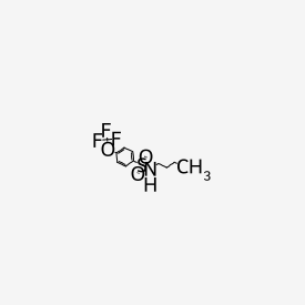 CCCCNS(=O)(=O)c1ccc(OC(F)(F)F)cc1